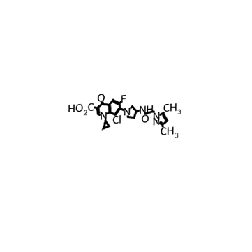 Cc1cc(C)n(CC(=O)NC2CCN(c3c(F)cc4c(=O)c(C(=O)O)cn(C5CC5)c4c3Cl)C2)n1